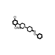 COc1ccc(Cl)cc1C1CCN(C2CCC(=NOc3ccccc3)CC2)CC1